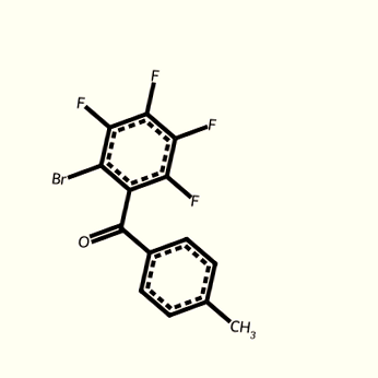 Cc1ccc(C(=O)c2c(F)c(F)c(F)c(F)c2Br)cc1